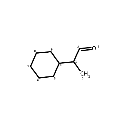 CC(C=O)C1CCCCC1